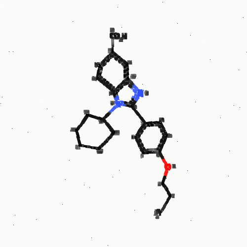 CC(C)CCOc1ccc(-c2nc3cc(C(=O)O)ccc3n2C2CCCCC2)cc1